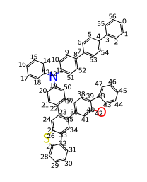 c1ccc(-c2ccc(-c3ccc(N(c4ccccc4)c4ccc(-c5cc6sc7ccccc7c6cc5-c5ccc6c(c5)oc5ccccc56)cc4)cc3)cc2)cc1